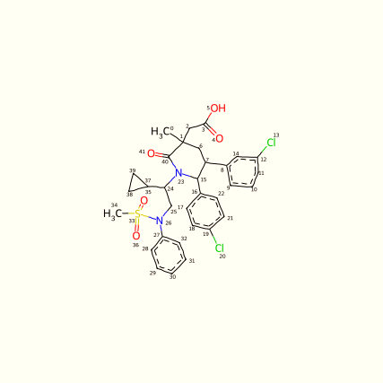 CC1(CC(=O)O)CC(c2cccc(Cl)c2)C(c2ccc(Cl)cc2)N(C(CN(c2ccccc2)S(C)(=O)=O)C2CC2)C1=O